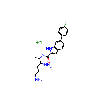 CC(NC(=O)c1cc2ccc(-c3ccc(F)cc3)cc2[nH]1)[C@@H](N)CCCN.Cl